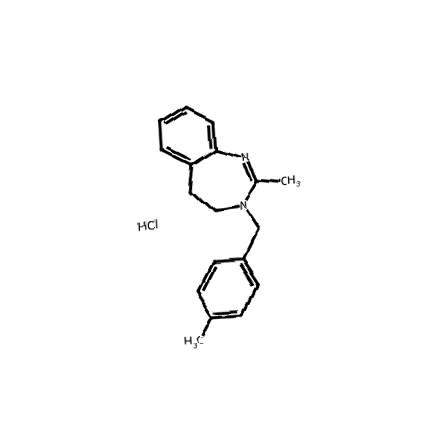 CC1=Nc2ccccc2CCN1Cc1ccc(C)cc1.Cl